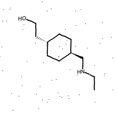 CCNC[C@H]1CC[C@H](CCO)CC1